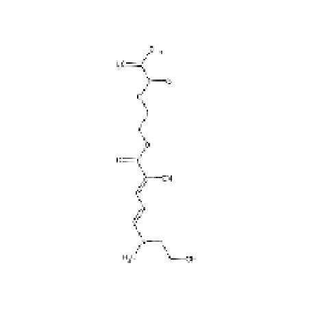 C=C(C)C(=O)OCCOC(=O)/C(C#N)=C/C=C/N(C)CCO